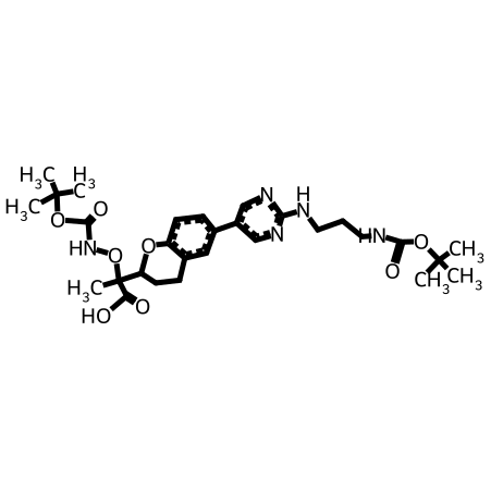 CC(C)(C)OC(=O)NCCCNc1ncc(-c2ccc3c(c2)CCC(C(C)(ONC(=O)OC(C)(C)C)C(=O)O)O3)cn1